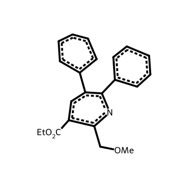 CCOC(=O)c1cc(-c2ccccc2)c(-c2ccccc2)nc1COC